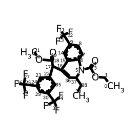 CCOC(=O)N1c2ccc(C(F)(F)F)cc2C(C(C(=O)OC)c2cc(C(F)(F)F)cc(C(F)(F)F)c2)=CC1CC